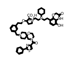 O=C1COc2c(CCN(CCN3CCC(OCCc4cccc(CN5CCC6(CC5)CN(C(=O)c5csc(-c7ccccc7)n5)CCO6)c4)[C@H]3C(=O)O)C3CCCCC3)ccc(O)c2N1